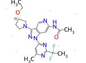 CCO[C@H]1CCN(c2nn(-c3cc(C)nc(C(C)(F)F)n3)c3cc(NC(C)=O)ncc23)C1